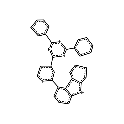 c1ccc(-c2nc(-c3ccccc3)nc(-c3ccnc(-c4cccc5[nH]c6ccccc6c45)c3)n2)cc1